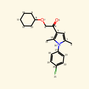 Cc1cc(C(=O)COC2CCCCC2)c(C)n1-c1ccc(F)cc1